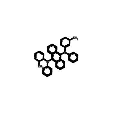 CC1C=C(N(c2ccccc2)c2c3ccccc3c(N(c3ccccc3)C3C=CC=CC3C)c3ccccc23)C=CC1